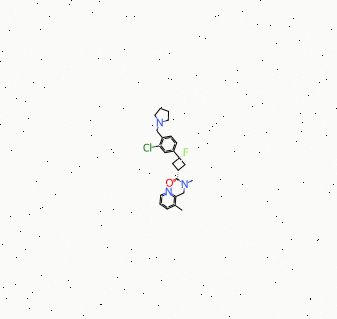 Cc1cccnc1CN(C)C(=O)[C@H]1C[C@](F)(c2ccc(CN3CCCC3)c(Cl)c2)C1